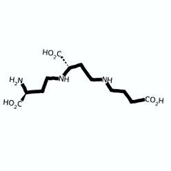 N[C@@H](CCN[C@@H](CCNCCCC(=O)O)C(=O)O)C(=O)O